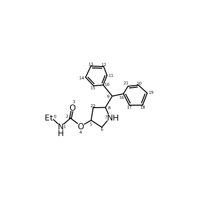 CCNC(=O)OC1CNC(C(c2ccccc2)c2ccccc2)C1